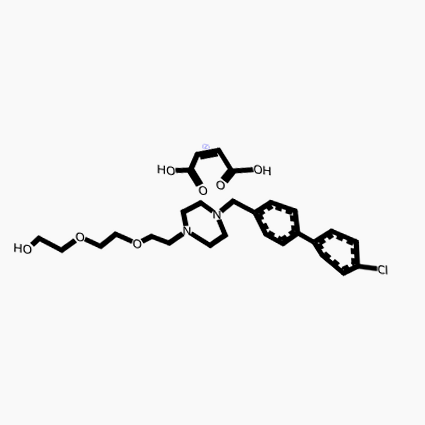 O=C(O)/C=C\C(=O)O.OCCOCCOCCN1CCN(Cc2ccc(-c3ccc(Cl)cc3)cc2)CC1